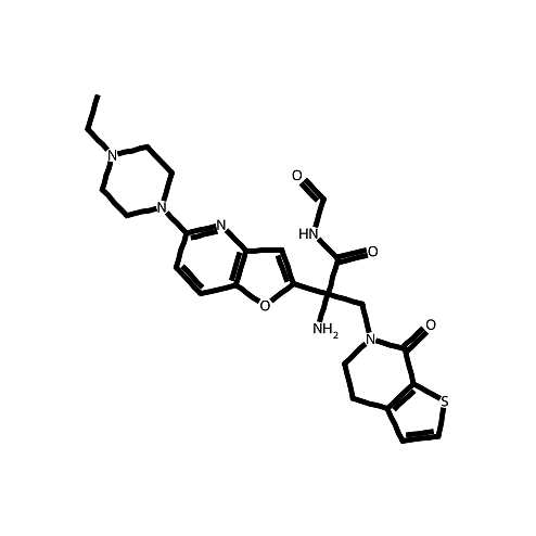 CCN1CCN(c2ccc3oc(C(N)(CN4CCc5ccsc5C4=O)C(=O)NC=O)cc3n2)CC1